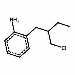 CCC(CCl)Cc1ccccc1N